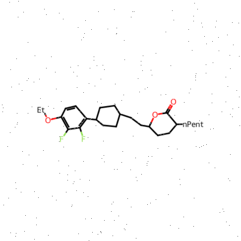 CCCCCC1CCC(CCC2CCC(c3ccc(OCC)c(F)c3F)CC2)OC1=O